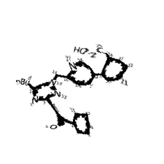 CCCCc1nc(C(=O)c2ccccc2)nn1Cc1ccc(-c2ccccc2C(=O)O)cn1